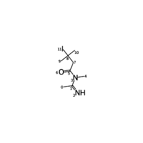 CC(=N)N(C)C(=O)CC(C)(C)I